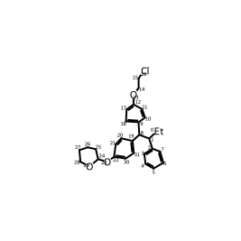 CCC(c1ccccc1)C(c1ccc(OCCCl)cc1)c1ccc(OC2CCCCO2)cc1